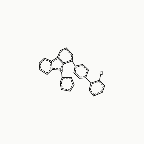 Clc1ccccc1-c1ccc(-c2cccc3c4ccccc4n(-c4ccccc4)c23)cc1